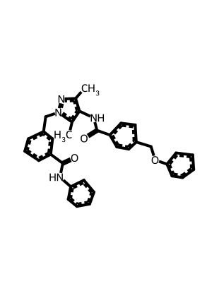 Cc1nn(Cc2cccc(C(=O)Nc3ccccc3)c2)c(C)c1NC(=O)c1ccc(COc2ccccc2)cc1